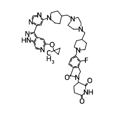 CC1(Oc2cc3c(-c4cc(N5CCC(CN6CCN(CC7CCN(c8ccc9c(c8F)CN(C8CCC(=O)NC8=O)C9=O)CC7)CC6)CC5)ncn4)n[nH]c3cn2)CC1